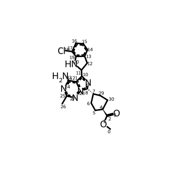 COC(=O)[C@H]1CC[C@H](c2nc(C3Cc4cccc(Cl)c4N3)c3c(N)nc(C)nn32)CC1